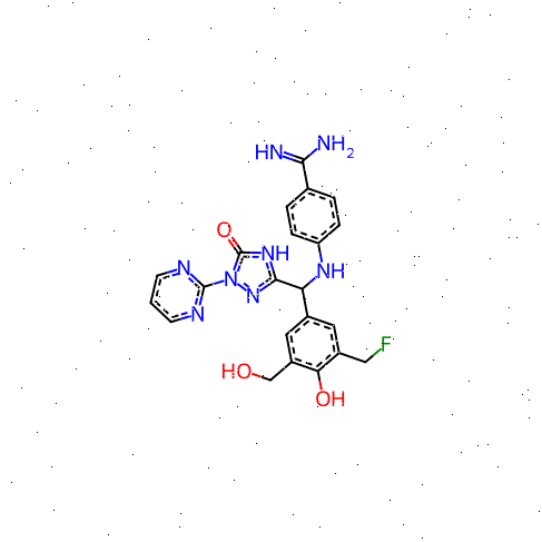 N=C(N)c1ccc(NC(c2cc(CO)c(O)c(CF)c2)c2nn(-c3ncccn3)c(=O)[nH]2)cc1